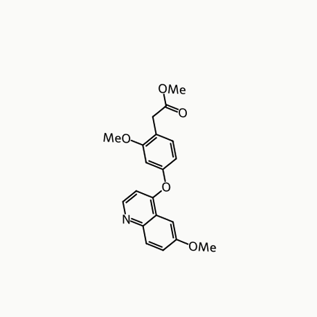 COC(=O)Cc1ccc(Oc2ccnc3ccc(OC)cc23)cc1OC